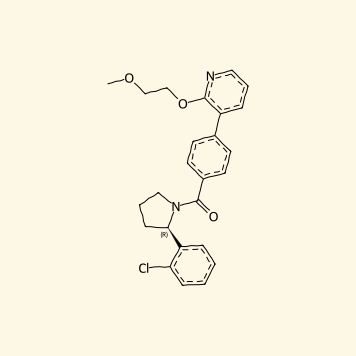 COCCOc1ncccc1-c1ccc(C(=O)N2CCC[C@@H]2c2ccccc2Cl)cc1